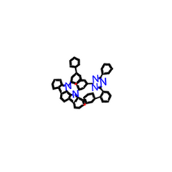 c1ccc(-c2cccc(-n3c4ccccc4c4ccc5c6ccccc6n(-c6cccc(-c7nc(-c8ccccc8)nc(-c8ccccc8-c8ccccc8)n7)c6)c5c43)c2)cc1